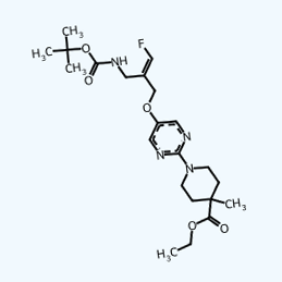 CCOC(=O)C1(C)CCN(c2ncc(OC/C(=C/F)CNC(=O)OC(C)(C)C)cn2)CC1